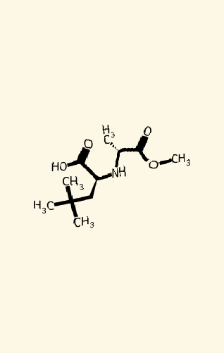 COC(=O)[C@@H](C)N[C@@H](CC(C)(C)C)C(=O)O